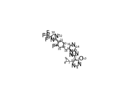 COc1ncnc(C2CC2)c1-c1nc2cncc(Cc3ccc(-c4nc(C(F)(F)F)cn4C)c(F)c3)n2n1